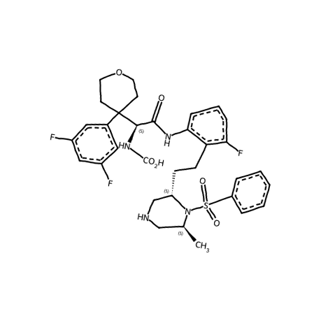 C[C@H]1CNC[C@H](CCc2c(F)cccc2NC(=O)[C@@H](NC(=O)O)C2(c3cc(F)cc(F)c3)CCOCC2)N1S(=O)(=O)c1ccccc1